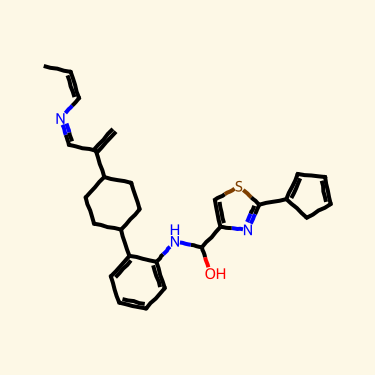 C=C(/C=N\C=C/C)C1CCC(c2ccccc2NC(O)c2csc(C3=CC=CC3)n2)CC1